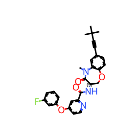 CN1C(=O)[C@@H](NC(=O)c2cc(Oc3cccc(F)c3)ccn2)COc2ccc(C#CC(C)(C)C)cc21